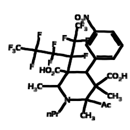 CCCN1C(C)C(C(=O)O)(C(F)(C(F)(F)C(F)(F)F)C(F)(F)C(F)(F)C(F)(F)F)C(c2cccc([N+](=O)[O-])c2)C(C)(C(=O)O)C1(C)C(C)=O